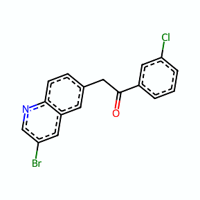 O=C(Cc1ccc2ncc(Br)cc2c1)c1cccc(Cl)c1